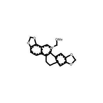 COC[n+]1cc2c3c(ccc2c2c1-c1cc4c(cc1CC2)OCO4)OCO3